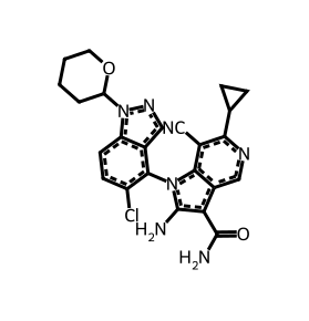 N#Cc1c(C2CC2)ncc2c(C(N)=O)c(N)n(-c3c(Cl)ccc4c3cnn4C3CCCCO3)c12